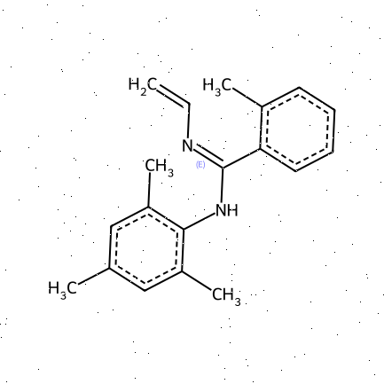 C=C/N=C(/Nc1c(C)cc(C)cc1C)c1ccccc1C